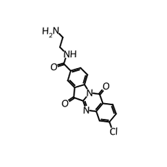 NCCNC(=O)c1ccc2c(c1)C(=O)c1nc3cc(Cl)ccc3c(=O)n1-2